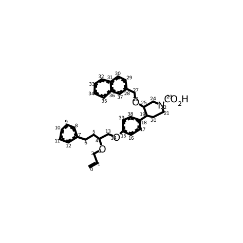 C=CCOC(CCc1ccccc1)COc1ccc(C2CCN(C(=O)O)CC2OCc2ccc3ccccc3c2)cc1